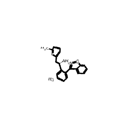 Cc1cccc(C[C@H](N)c2ccccc2-c2noc3ccccc23)n1.Cl